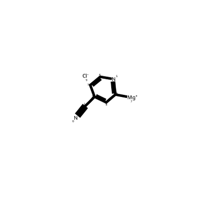 N#Cc1ccn[c]([Mg+])c1.[Cl-]